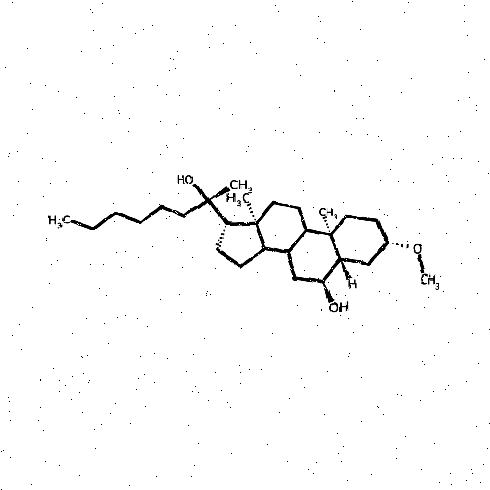 CCCCCC[C@](C)(O)[C@H]1CCC2C3C[C@H](O)[C@H]4C[C@@H](OC)CC[C@]4(C)C3CC[C@@]21C